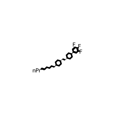 CCC/C=C/CCCC[C@H]1CC[C@H](CC[C@H]2CC[C@H](c3cc(F)c(F)c(F)c3)CC2)CC1